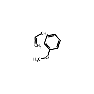 C=CC.COc1ccccc1